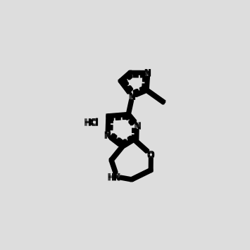 Cc1nccn1-c1cnc2c(n1)OCCNC2.Cl